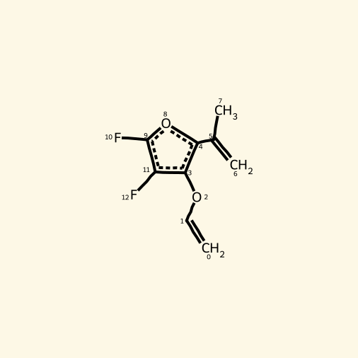 C=COc1c(C(=C)C)oc(F)c1F